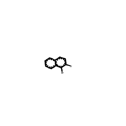 [B]c1c(F)ccc2ccccc12